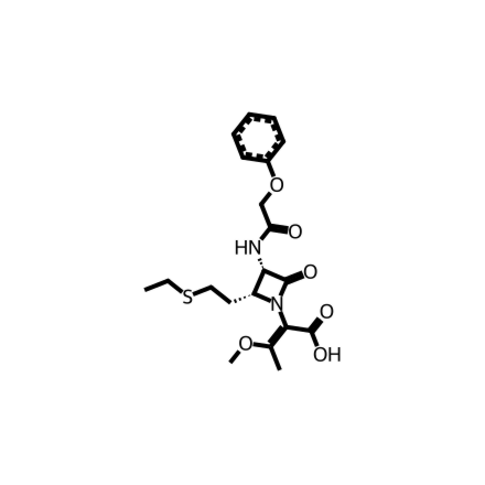 CCSCC[C@@H]1[C@H](NC(=O)COc2ccccc2)C(=O)N1C(C(=O)O)=C(C)OC